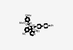 CCCN1CCN(C2CCN(C(=O)OC3(c4cccnc4OCC)C(=O)N(S(=O)(=O)c4ccc(OC)cc4OC)c4ccc(C#N)cc43)CC2)CC1